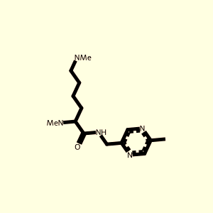 CNCCCCC(NC)C(=O)NCc1cnc(C)cn1